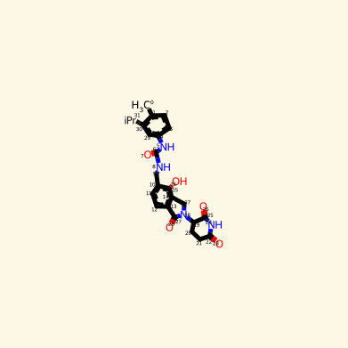 Cc1ccc(NC(=O)NCc2ccc3c(c2O)CN(C2CCC(=O)NC2=O)C3=O)cc1C(C)C